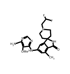 COc1c(N)ncnc1Nc1cc(C)c2c(c1)C1(CCN(CC(F)F)CC1)NC2=O